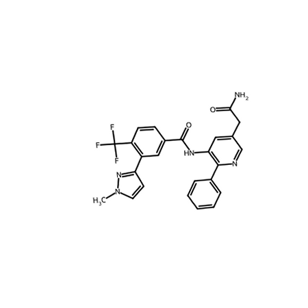 Cn1ccc(-c2cc(C(=O)Nc3cc(CC(N)=O)cnc3-c3ccccc3)ccc2C(F)(F)F)n1